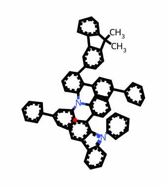 CC1(C)c2ccccc2-c2cc(-c3cccc(N(c4cccc(-c5ccccc5)c4)c4ccccc4-c4cccc5c6ccccc6n(-c6ccccc6)c45)c3-c3ccc(-c4ccccc4)cc3)ccc21